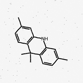 Cc1ccc2c(c1)Nc1cc(C)ccc1C2(C)C